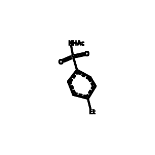 CCc1ccc(S(=O)(=O)NC(C)=O)cc1